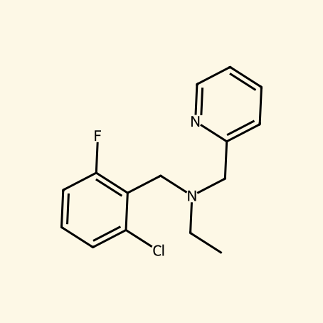 CCN(Cc1ccccn1)Cc1c(F)cccc1Cl